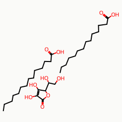 CCCCCCCCCCCCCC(=O)O.CCCCCCCCCCCCCC(=O)O.O=C1O[C@H]([C@@H](O)CO)C(O)=C1O